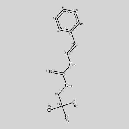 O=C(OC=Cc1ccccc1)OCC(Cl)(Cl)Cl